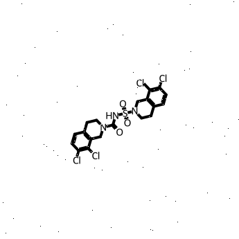 O=C(NS(=O)(=O)N1CCc2ccc(Cl)c(Cl)c2C1)N1CCc2ccc(Cl)c(Cl)c2C1